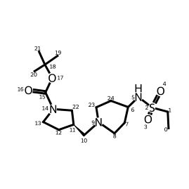 CCS(=O)(=O)NC1CCN(C[C@H]2CCN(C(=O)OC(C)(C)C)C2)CC1